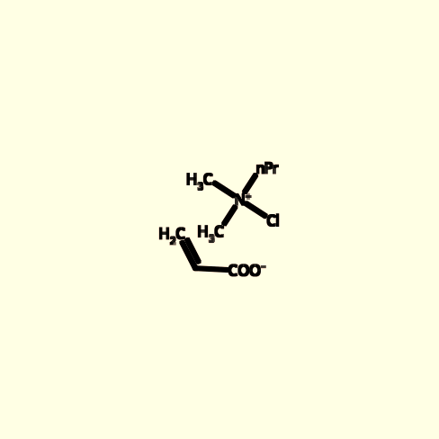 C=CC(=O)[O-].CCC[N+](C)(C)Cl